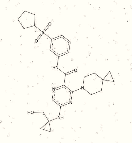 O=C(Nc1cccc(S(=O)(=O)C2CCCC2)c1)c1ncc(NC2(CO)CC2)nc1N1CCC2(CC1)CC2